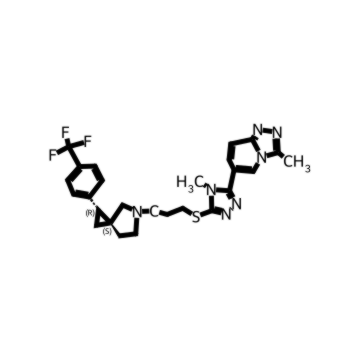 Cc1nnc2ccc(-c3nnc(SCCCN4CC[C@]5(C[C@@H]5c5ccc(C(F)(F)F)cc5)C4)n3C)cn12